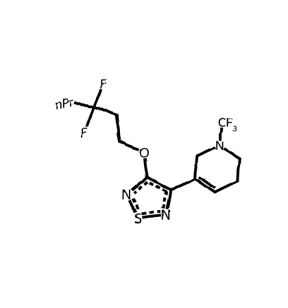 CCCC(F)(F)CCOc1nsnc1C1=CCCN(C(F)(F)F)C1